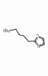 CC(C)(C)CCCCc1ncco1